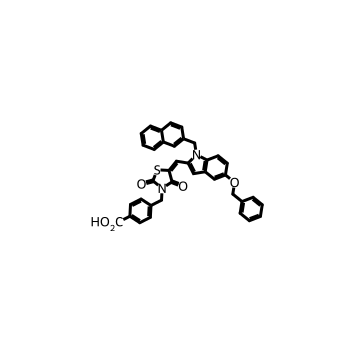 O=C(O)c1ccc(CN2C(=O)SC(=Cc3cc4cc(OCc5ccccc5)ccc4n3Cc3ccc4ccccc4c3)C2=O)cc1